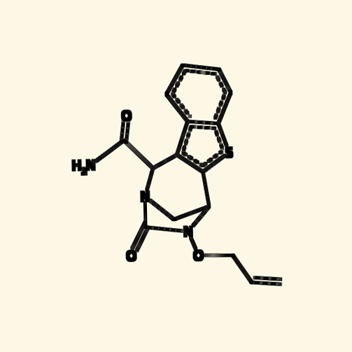 C=CCON1C(=O)N2CC1c1sc3ccccc3c1C2C(N)=O